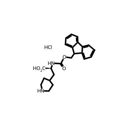 Cl.O=C(N[C@@H](CC1CCNCC1)C(=O)O)OCC1c2ccccc2-c2ccccc21